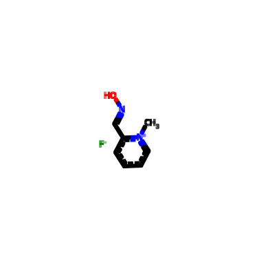 C[n+]1ccccc1C=NO.[F-]